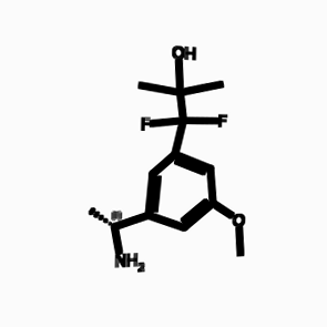 COc1cc([C@@H](C)N)cc(C(F)(F)C(C)(C)O)c1